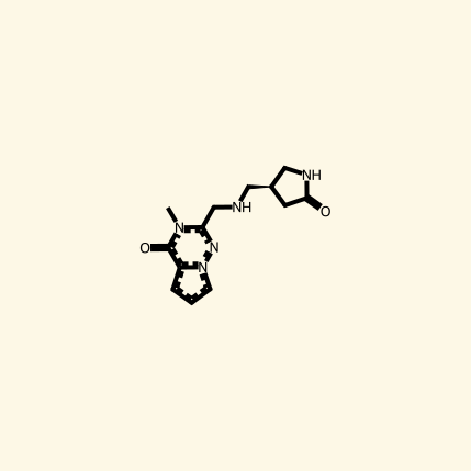 Cn1c(CNC[C@H]2CNC(=O)C2)nn2cccc2c1=O